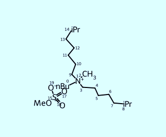 CCCC[N+](C)(CCCCCC(C)C)CCCCCC(C)C.COS(=O)(=O)[O-]